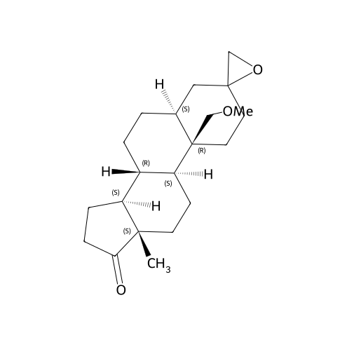 COC[C@]12CCC3(CO3)C[C@@H]1CC[C@@H]1[C@@H]2CC[C@]2(C)C(=O)CC[C@@H]12